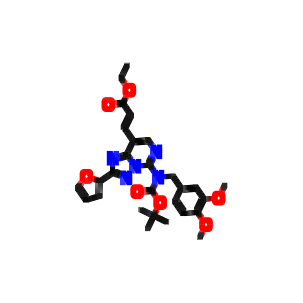 CCOC(=O)/C=C/c1cnc(N(Cc2ccc(OC)c(OC)c2)C(=O)OC(C)(C)C)n2nc(-c3ccco3)nc12